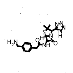 CC1(C)S[C@H]2C(NC(=O)Cc3ccc(CN)cc3)C(=O)N2C1c1nnn[nH]1